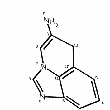 NC1=Cn2cnc3cccc(c32)C1